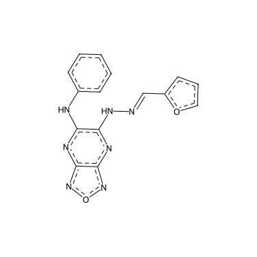 C(=NNc1nc2nonc2nc1Nc1ccccc1)c1ccco1